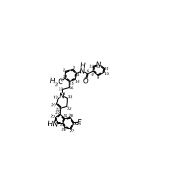 Cc1ccc(NC(=O)c2cccnc2)cc1CCN1CC=C(c2c[nH]c3ccc(F)cc23)CC1